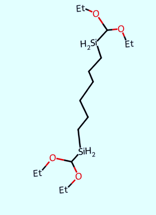 CCOC(OCC)[SiH2]CCCCCC[SiH2]C(OCC)OCC